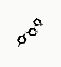 Fc1ccc(Oc2ccnc([C@@H]3CCCN3)c2)cc1